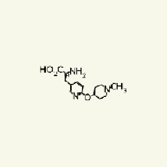 CN1CCC(Oc2ccc(C[C@H](N)C(=O)O)cn2)CC1